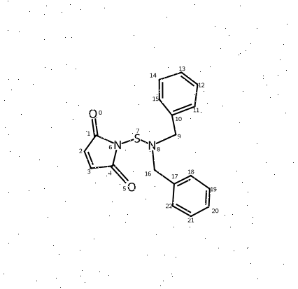 O=C1C=CC(=O)N1SN(Cc1ccccc1)Cc1ccccc1